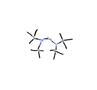 C[Si](C)(C)[N]([Lu][N]([Si](C)(C)C)[Si](C)(C)C)[Si](C)(C)C